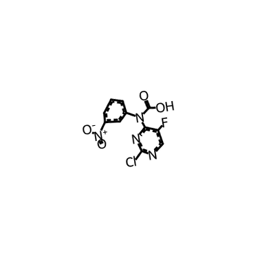 O=C(O)N(c1cccc([N+](=O)[O-])c1)c1nc(Cl)ncc1F